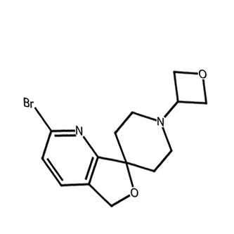 Brc1ccc2c(n1)C1(CCN(C3COC3)CC1)OC2